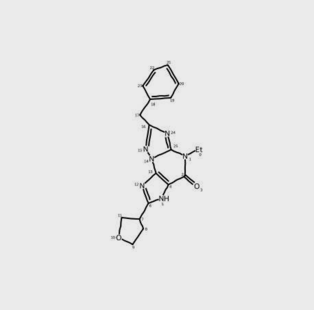 CCn1c(=O)c2[nH]c(C3CCOC3)nc2n2nc(Cc3ccccc3)nc12